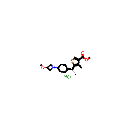 COC(=O)c1csc([C@H](C)C2CCC(N3CC(OC)C3)CC2)c1C.Cl